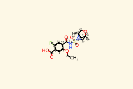 CCOc1cc(C(=O)O)c(F)cc1C(=O)NS(=O)(=O)N1C[C@@H]2C[C@H]1CO2